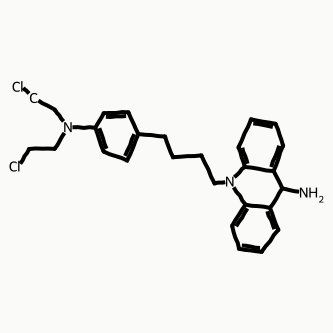 NC1c2ccccc2N(CCCCc2ccc(N(CCCl)CCCl)cc2)c2ccccc21